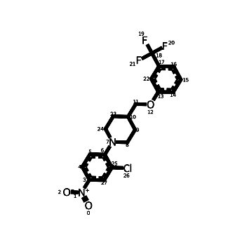 O=[N+]([O-])c1ccc(N2CCC(COc3cccc(C(F)(F)F)c3)CC2)c(Cl)c1